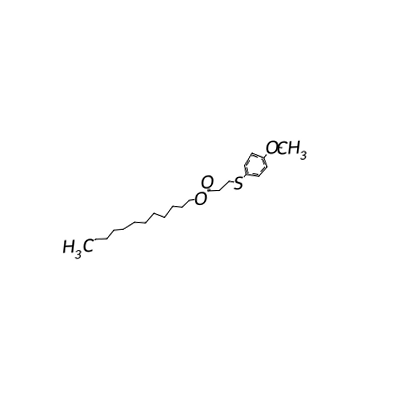 CCCCCCCCCCCCOC(=O)CCSc1ccc(OC)cc1